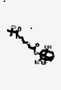 CCC1C2(O)CC3CC(O)(C2)CC1(OC(=O)COCCOC(=O)C(C)(C)CC)C3